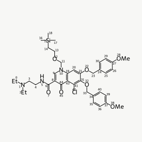 CCN(CC)CCNC(=O)c1cn(COCC[Si](C)(C)C)c2cc(OCc3ccc(OC)cc3)c(OCc3ccc(OC)cc3)c(Cl)c2c1=O